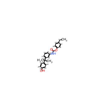 CCc1ccc(OC(=O)Nc2cccc(C(C)(C)c3ccc(O)cc3)c2)cc1